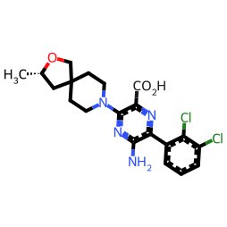 C[C@H]1CC2(CCN(c3nc(N)c(-c4cccc(Cl)c4Cl)nc3C(=O)O)CC2)CO1